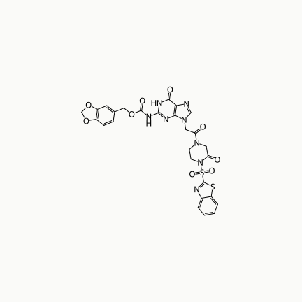 O=C(Nc1nc2c(ncn2CC(=O)N2CCN(S(=O)(=O)c3nc4ccccc4s3)C(=O)C2)c(=O)[nH]1)OCc1ccc2c(c1)OCO2